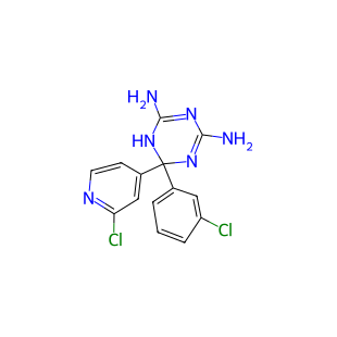 NC1=NC(c2cccc(Cl)c2)(c2ccnc(Cl)c2)NC(N)=N1